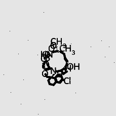 COC[C@H]1C(=O)NS(=O)(=O)c2ccc3c(c2)N(C[C@@H]2CC[C@H]2[C@H](O)/C=C/C[C@@H]1C)C[C@@]1(CCCc2cc(Cl)ccc21)CO3